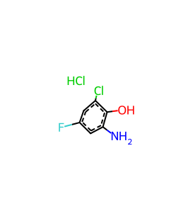 Cl.Nc1cc(F)cc(Cl)c1O